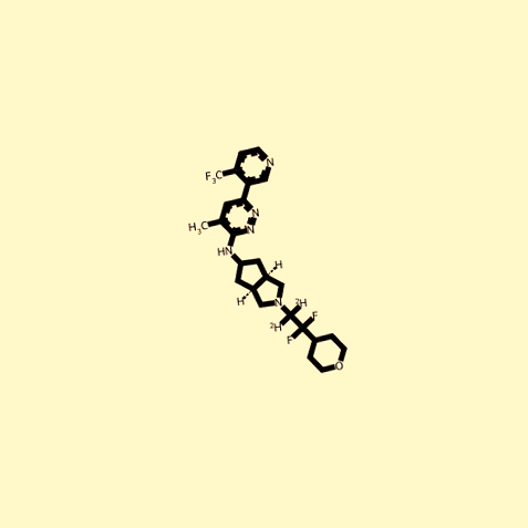 [2H]C([2H])(N1C[C@H]2CC(Nc3nnc(-c4cnccc4C(F)(F)F)cc3C)C[C@H]2C1)C(F)(F)C1CCOCC1